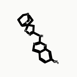 Cc1ccc2cnc(NC3=NOC4(C3)CN3CCC4CC3)nc2c1